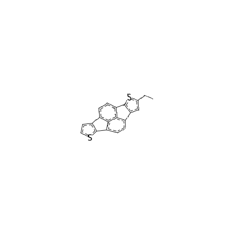 CCc1cc2c(s1)-c1ccc3c4c(ccc-2c14)-c1sccc1-3